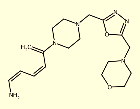 C=C(/C=C\C=C/N)N1CCN(Cc2nnc(CN3CCOCC3)o2)CC1